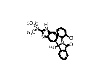 CN(C(=O)O)c1nc2cc(C3(O)c4ccccc4C(=O)N3c3ccccc3Cl)ccc2[nH]1